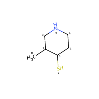 CC1CNCCC1S